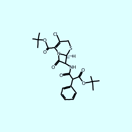 CC(C)(C)OC(=O)C1=C(Cl)CS[C@H]2C(NC(=O)C(C(=O)OC(C)(C)C)c3ccccc3)C(=O)N12